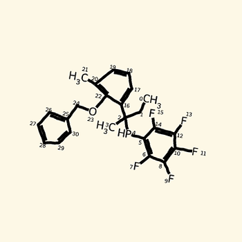 CCC(C)(Pc1c(F)c(F)c(F)c(F)c1F)c1cccc(C)c1OCc1ccccc1